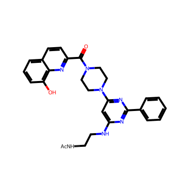 CC(=O)NCCNc1cc(N2CCN(C(=O)c3ccc4cccc(O)c4n3)CC2)nc(-c2ccccc2)n1